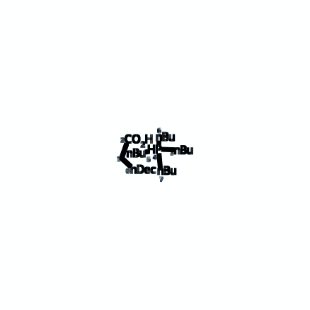 CCCCCCCCCCCC(=O)O.CCCC[PH](CCCC)(CCCC)CCCC